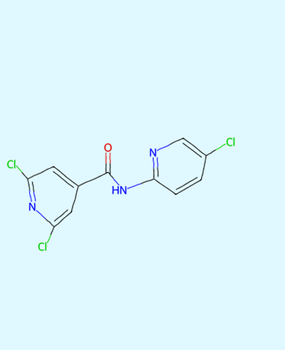 O=C(Nc1ccc(Cl)cn1)c1cc(Cl)nc(Cl)c1